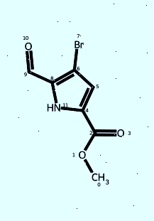 COC(=O)c1cc(Br)c(C=O)[nH]1